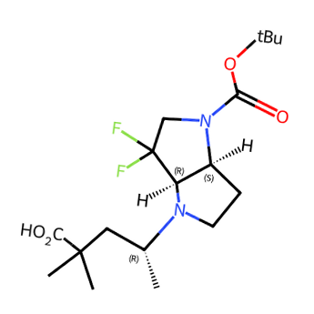 C[C@H](CC(C)(C)C(=O)O)N1CC[C@H]2[C@@H]1C(F)(F)CN2C(=O)OC(C)(C)C